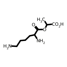 CC(OC(=O)C(N)CCCCN)C(=O)O